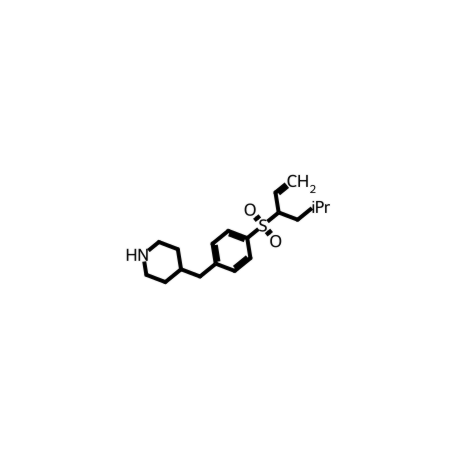 C=CC(CC(C)C)S(=O)(=O)c1ccc(CC2CCNCC2)cc1